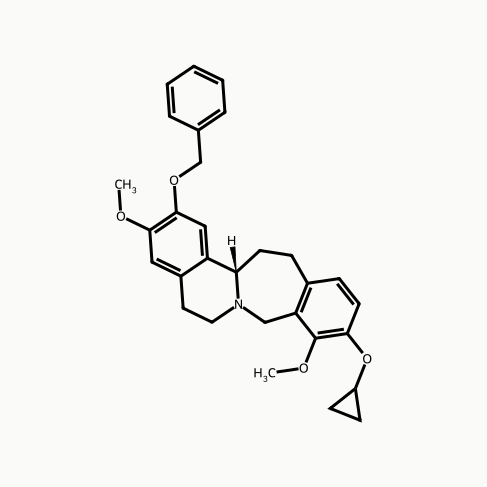 COc1cc2c(cc1OCc1ccccc1)[C@@H]1CCc3ccc(OC4CC4)c(OC)c3CN1CC2